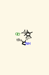 CC1=C(C)C(C)([SiH](C)C)[C]([Ti+2][c]2[nH]ccc2C(C)(C)C)=C1C.[Cl-].[Cl-]